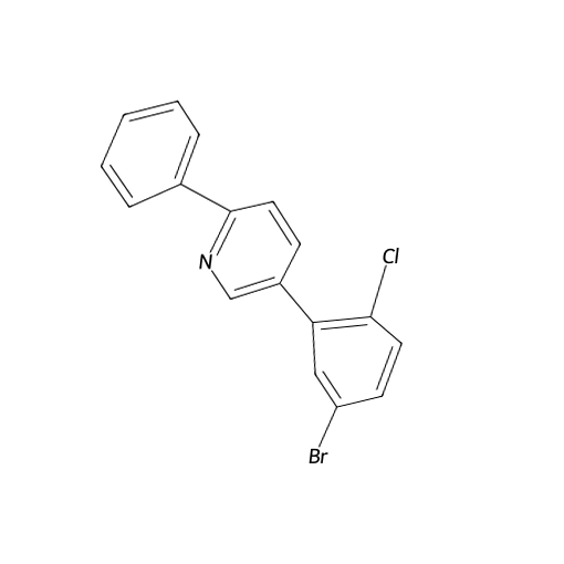 Clc1ccc(Br)cc1-c1ccc(-c2ccccc2)nc1